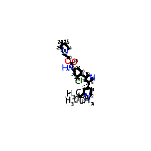 CC(C)(C)c1cc(-c2cncc(-c3ccc(NC(=O)OCCN4CCCC4)cc3Cl)c2)ccn1